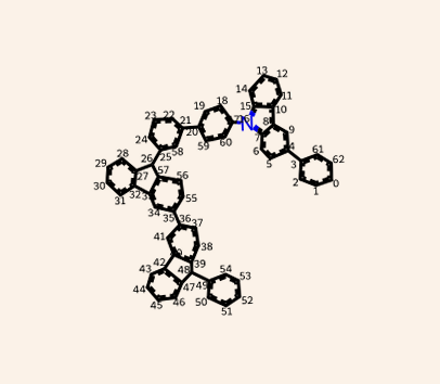 c1ccc(-c2ccc3c(c2)c2ccccc2n3-c2ccc(-c3cccc(C4c5ccccc5-c5cc(-c6ccc7c(c6)-c6ccccc6C7c6ccccc6)ccc54)c3)cc2)cc1